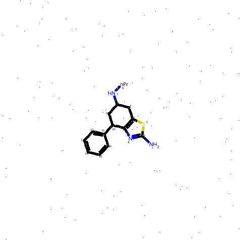 CCCNC1Cc2sc(N)nc2C(c2ccccc2)C1